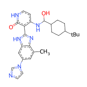 Cc1cc(-n2ccnc2)cc2[nH]c(-c3c(NC(O)C4CCC(C(C)(C)C)CC4)cc[nH]c3=O)nc12